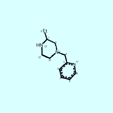 CCC1CN(Cc2ccccn2)CCN1